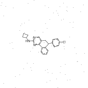 Clc1ccc(C2Cc3cnc(NC4CCC4)nc3-c3ccccc32)cc1